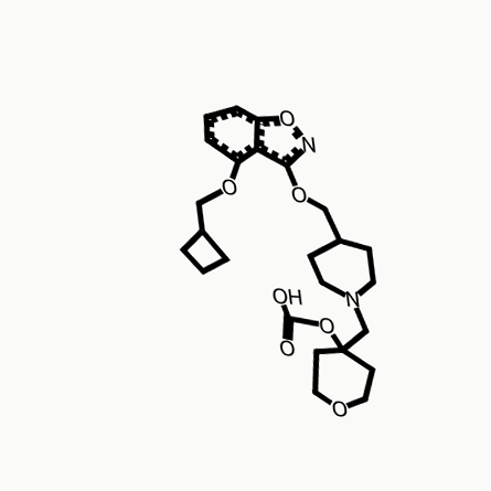 O=C(O)OC1(CN2CCC(COc3noc4cccc(OCC5CCC5)c34)CC2)CCOCC1